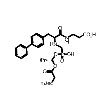 CCCCCCCCCCCC(=O)O[C@@H](OP(=O)(O)CNC(Cc1ccc(-c2ccccc2)cc1)C(=O)NCCC(=O)O)C(C)C